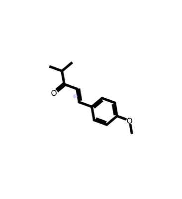 COc1ccc(/C=C/C(=O)C(C)C)cc1